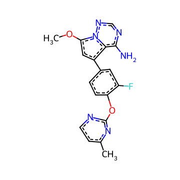 COc1cc(-c2ccc(Oc3nccc(C)n3)c(F)c2)c2c(N)ncnn12